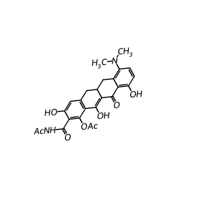 CC(=O)NC(=O)c1c(O)cc2c(c1OC(C)=O)C(O)=C1C(=O)c3c(O)ccc(N(C)C)c3CC1C2